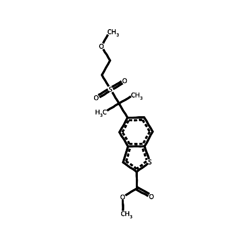 COCCS(=O)(=O)C(C)(C)c1ccc2sc(C(=O)OC)cc2c1